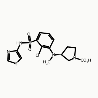 CN(c1cccc(S(=O)(=O)Nc2cscn2)c1Cl)[C@H]1CCN(C(=O)O)C1